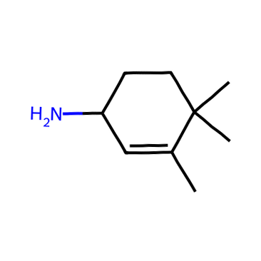 CC1=CC(N)CCC1(C)C